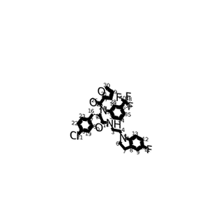 O=C(NCCN1CCc2cc(F)ccc21)[C@H](Cc1ccc(Cl)cc1)N(C(=O)c1ccco1)c1cccc(C(F)(F)F)c1